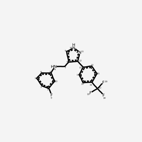 Fc1cccc(NCc2c[nH]nc2-c2ccc(C(F)(F)F)cc2)c1